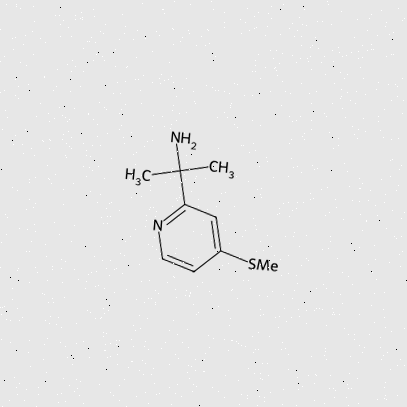 CSc1ccnc(C(C)(C)N)c1